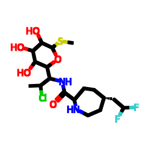 CSC1OC(C(NC(=O)C2CC[C@H](CC(F)F)CCN2)C(C)Cl)C(O)C(O)C1O